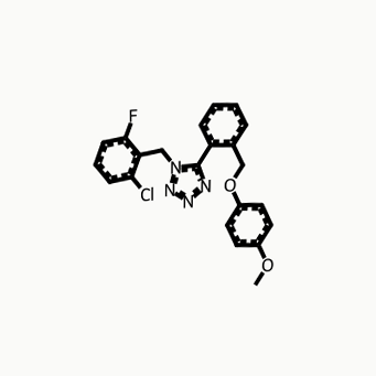 COc1ccc(OCc2ccccc2-c2nnnn2Cc2c(F)cccc2Cl)cc1